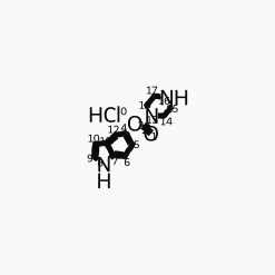 Cl.O=C(Oc1ccc2[nH]ccc2c1)N1CCNCC1